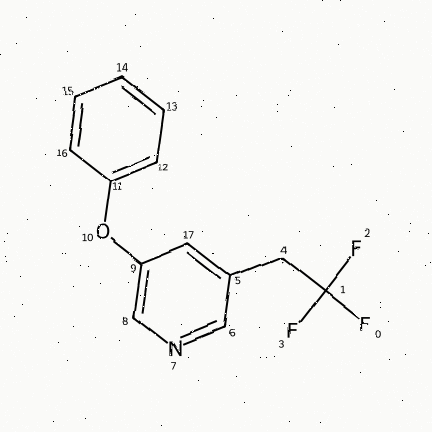 FC(F)(F)[CH]c1cncc(Oc2ccccc2)c1